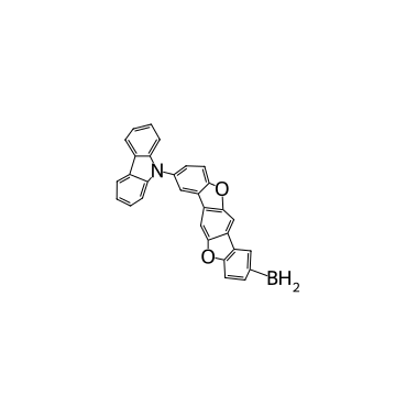 Bc1ccc2oc3cc4c(cc3c2c1)oc1ccc(-n2c3ccccc3c3ccccc32)cc14